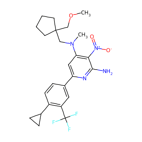 COCC1(CN(C)c2cc(-c3ccc(C4CC4)c(C(F)(F)F)c3)nc(N)c2[N+](=O)[O-])CCCC1